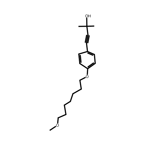 COCCCCCCCOc1ccc(C#CC(C)(C)O)cc1